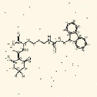 CC(NC(CCCCNC(=O)OCC1c2ccccc2-c2ccccc21)C(N)=O)=C1C(=O)CC(C)(C)CC1=O